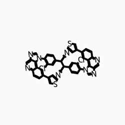 N#CC(c1ccc(-n2cnc3cnc4ccc(-c5ccsc5)cc4c32)c(Cl)c1)C(C#N)c1ccc(-n2cnc3cnc4ccc(-c5ccsc5)cc4c32)c(Cl)c1